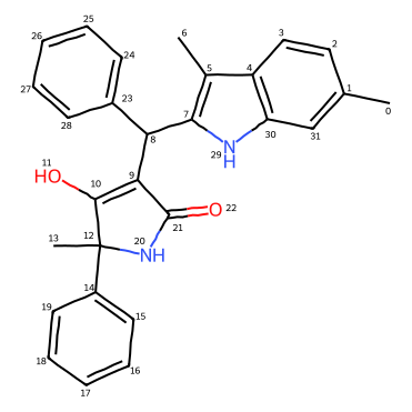 Cc1ccc2c(C)c(C(C3=C(O)C(C)(c4ccccc4)NC3=O)c3ccccc3)[nH]c2c1